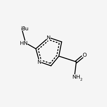 CCC(C)Nc1ncc(C(N)=O)cn1